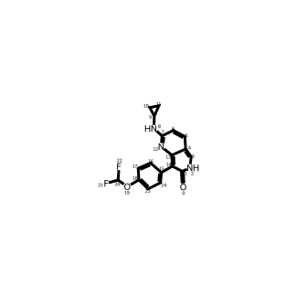 O=c1[nH]cc2ccc(NC3CC3)nc2c1-c1ccc(OC(F)F)cc1